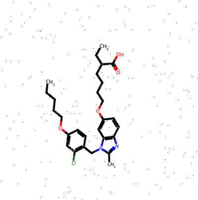 CCCCCOc1ccc(Cn2c(C)nc3ccc(OCCCCC(CC)C(=O)O)cc32)c(Cl)c1